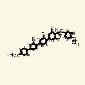 CCCCCCC1CCC(c2ccc(-c3ccc(-c4cc(F)c(C(F)(F)Oc5ccc(OC(F)(F)F)c(F)c5)c(F)c4)c(F)c3)c(F)c2)CC1